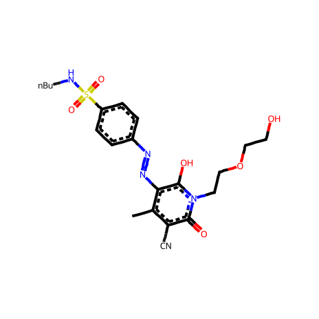 CCCCNS(=O)(=O)c1ccc(/N=N/c2c(C)c(C#N)c(=O)n(CCOCCO)c2O)cc1